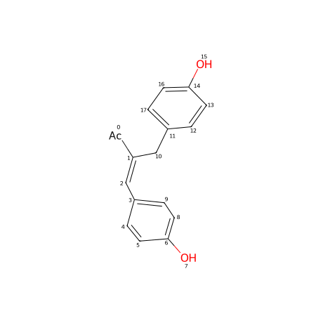 CC(=O)C(=Cc1ccc(O)cc1)Cc1ccc(O)cc1